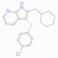 Clc1ccc(Sc2c(CC3CCCCC3)[nH]c3ncccc23)cc1